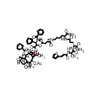 CC(=O)O[C@H]1C(=O)[C@@]2(C)[C@H]([C@H](OC(=O)c3ccccc3)[C@]3(O)C[C@H](OC(=O)[C@H](OC(=O)CCC(=O)NCCCCC(NC(=O)CC[C@H](NC(=O)C(C)NC(=O)/C=C/c4cccs4)C(N)=O)C(N)=O)[C@H](NC(=O)c4ccccc4)c4ccccc4)C(C)=C1C3(C)C)[C@]1(OC(C)=O)CO[C@@H]1C[C@@H]2O